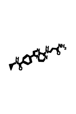 NC(=O)CCNc1nccn2c(-c3ccc(C(=O)NC4CC4)cc3)cnc12